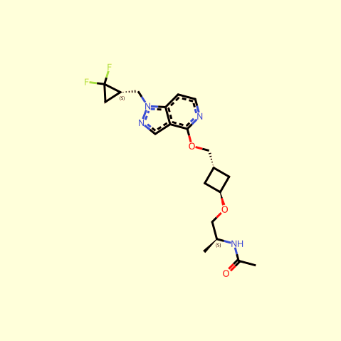 CC(=O)N[C@@H](C)CO[C@H]1C[C@H](COc2nccc3c2cnn3C[C@@H]2CC2(F)F)C1